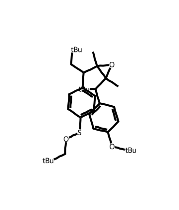 CC(C)(C)COSc1ccc(C(CC(C)(C)C)C2(C)OC2(C)C(c2ccc(OC(C)(C)C)cc2)C(C)(C)C)cc1